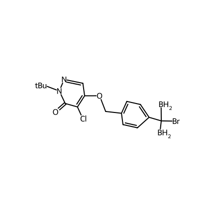 BC(B)(Br)c1ccc(COc2cnn(C(C)(C)C)c(=O)c2Cl)cc1